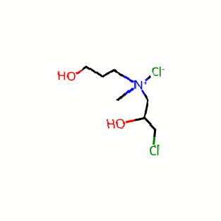 C[N+](C)(CCCO)CC(O)CCl.[Cl-]